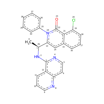 C[C@H](Nc1nccc2ncccc12)c1cc2cccc(Cl)c2c(=O)n1-c1ccccc1